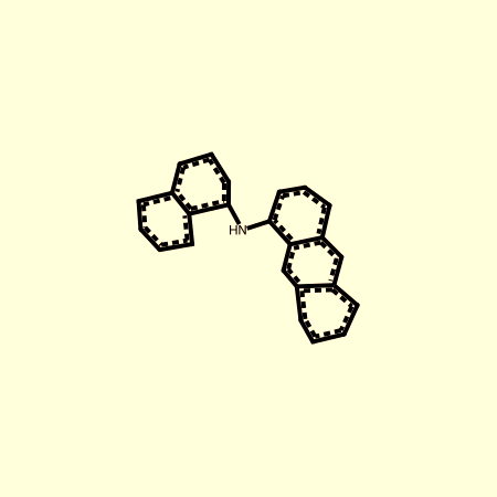 c1ccc2cc3c(Nc4cccc5ccccc45)cccc3cc2c1